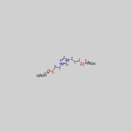 CCCCCCCCCOCCCn1cc[n+](CCCOCCCCCCCCC)c1